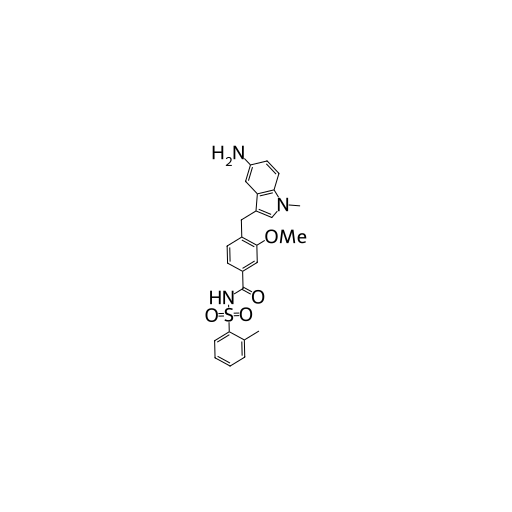 COc1cc(C(=O)NS(=O)(=O)c2ccccc2C)ccc1Cc1cn(C)c2ccc(N)cc12